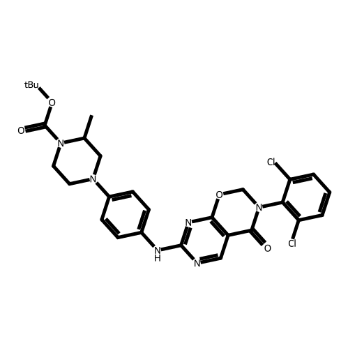 CC1CN(c2ccc(Nc3ncc4c(n3)OCN(c3c(Cl)cccc3Cl)C4=O)cc2)CCN1C(=O)OC(C)(C)C